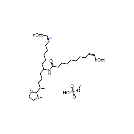 CCCCCCCC/C=C\CCCCCCCC(=O)NC(CCCCC/C=C\CCCCCCCC)CCCC(C)C1=NCCN1.COS(=O)(=O)O